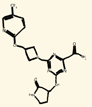 NC(=O)c1nc(NC2CCNC2=O)nc(N2CC(Oc3ccc(C(F)(F)F)cn3)C2)n1